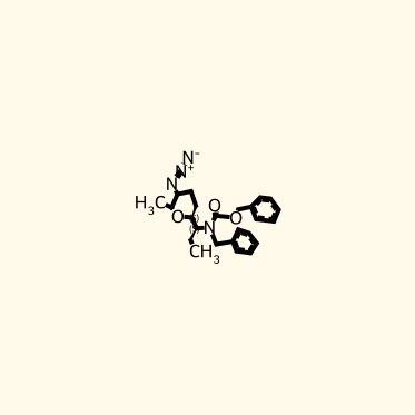 CC[C@@H]([C@@H]1CCC(N=[N+]=[N-])C(C)O1)N(Cc1ccccc1)C(=O)OCc1ccccc1